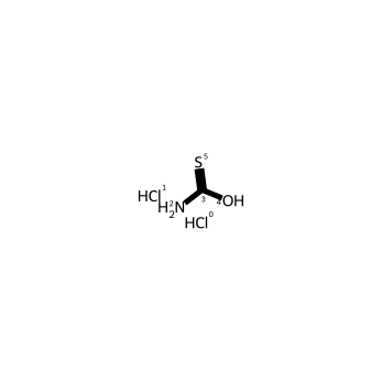 Cl.Cl.NC(O)=S